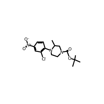 CC1CN(C(=O)OC(C)(C)C)CCN1c1ccc([N+](=O)[O-])cc1Cl